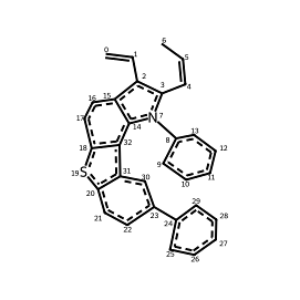 C=Cc1c(/C=C\C)n(-c2ccccc2)c2c1ccc1sc3ccc(-c4ccccc4)cc3c12